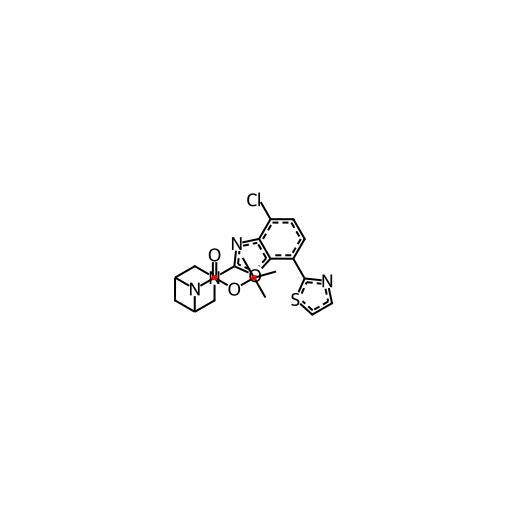 CC(C)(C)OC(=O)N1C2CC1CN(c1nc3c(Cl)ccc(-c4nccs4)c3o1)C2